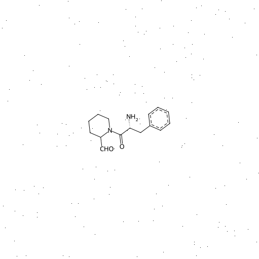 N[C@H](Cc1ccccc1)C(=O)N1CCCCC1[C]=O